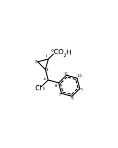 O=C(O)C1CC1C(Cl)c1ccccc1